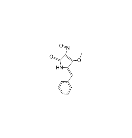 COC1=C(N=O)C(=O)N/C1=C\c1ccccc1